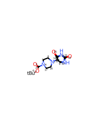 CC(C)(C)OC(=O)N1CCN(c2c[nH]c(=O)[nH]c2=O)CC1